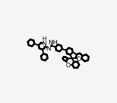 N=C(/N=c1\[nH]cc(-c2ccccc2)cc1-c1ccccc1)c1ccc(-c2ccc3c(c2)C2(c4ccccc4Oc4ccccc42)c2cc4ccccc4cc2-3)cc1